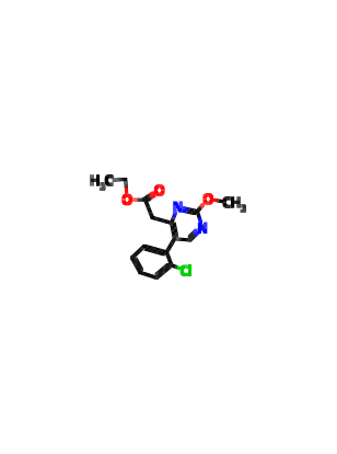 CCOC(=O)Cc1nc(OC)ncc1-c1ccccc1Cl